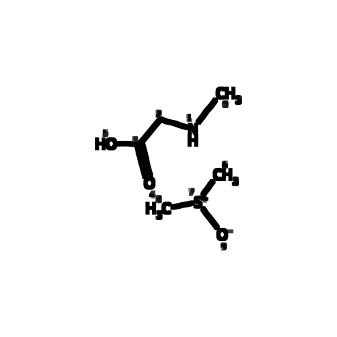 CNCC(=O)O.C[S+](C)[O-]